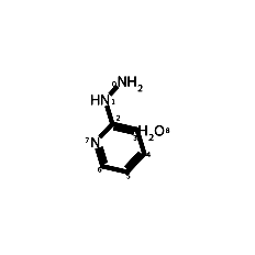 NNc1ccccn1.O